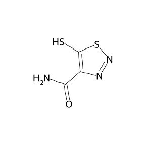 NC(=O)c1nnsc1S